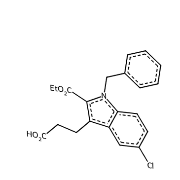 CCOC(=O)c1c(CCC(=O)O)c2cc(Cl)ccc2n1Cc1ccccc1